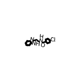 O=C(NCCc1nc2ccccc2[nH]1)c1ccc(Cl)cc1